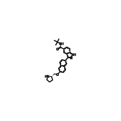 CC(C)(C)NC(=O)c1ccc2[nH]nc(-c3ccc4cc(OC[C@@H]5CCCN5)ccc4c3)c2c1